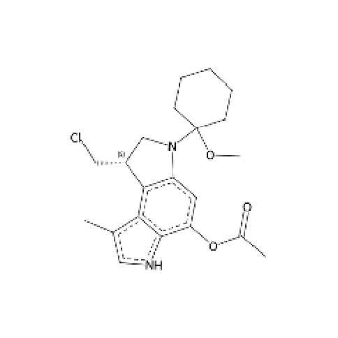 COC1(N2C[C@@H](CCl)c3c2cc(OC(C)=O)c2[nH]cc(C)c32)CCCCC1